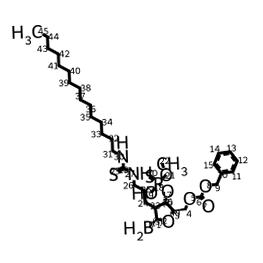 B[C@@H]1O[C@H](COC(=O)OCc2ccccc2)[C@H](OP(O)(=S)OC)C1CCCNC(=S)NCCCCCCCCCCCCCCC